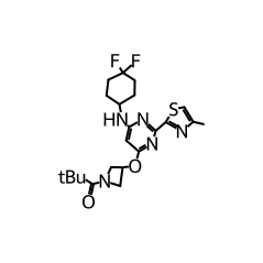 Cc1csc(-c2nc(NC3CCC(F)(F)CC3)cc(OC3CN(C(=O)C(C)(C)C)C3)n2)n1